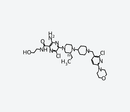 CC[C@H]1CN(c2nc(N)c(C(=O)NCCO)nc2Cl)CCN1C1CCN(Cc2ccc(N3CCOCC3)nc2Cl)CC1